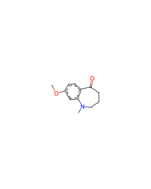 COc1ccc2c(c1)N(C)CCCC2=O